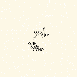 CCCCC1(C(C)C(C)C=O)C=CC1C(=O)NCCOCCOC(=O)C(C)(COC(=O)C(C)(C)Br)COC(=O)C(C)(C)Br